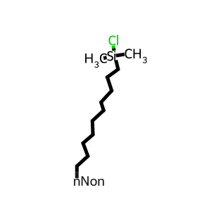 CCCCCCCCCCCCCCCCCCC[Si](C)(C)Cl